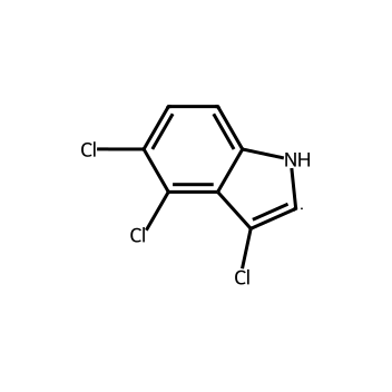 Clc1ccc2[nH][c]c(Cl)c2c1Cl